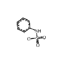 O=S(=O)(Cl)Nc1[c]cccc1